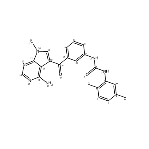 Cc1ccc(C)c(NC(=O)Nc2cccc(C(=O)c3cn(C(C)C)c4ncnc(N)c34)c2)c1